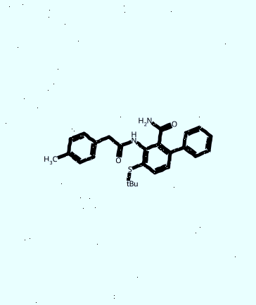 Cc1ccc(CC(=O)Nc2c(SC(C)(C)C)ccc(-c3ccccc3)c2C(N)=O)cc1